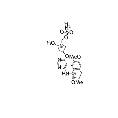 COc1ccc2c(c1)[C@@H](Nc1cc(OC3CC(O)[C@H](COS(N)(=O)=O)C3)ncn1)[C@@H](OC)CC2